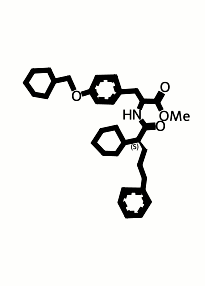 COC(=O)C(Cc1ccc(OCC2CCCCC2)cc1)NC(=O)[C@@H](CCCc1ccccc1)C1CCCCC1